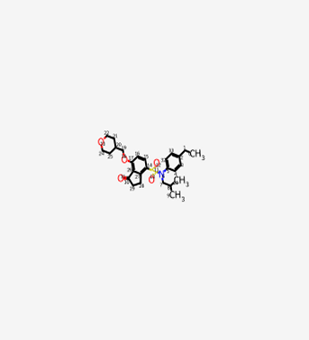 CCc1ccc(N(CC(C)C)S(=O)(=O)c2ccc(OCC3CCOCC3)c3c2CCC3=O)cc1